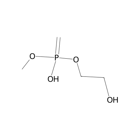 C=P(O)(OC)OCCO